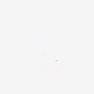 CN(Cc1ccc2c(c1)[C@@H](C(N)=O)[C@H](O)C2)c1cc2ccccc2s1